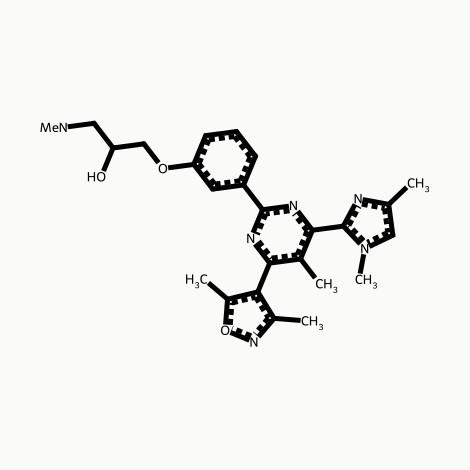 CNCC(O)COc1cccc(-c2nc(-c3c(C)noc3C)c(C)c(-c3nc(C)cn3C)n2)c1